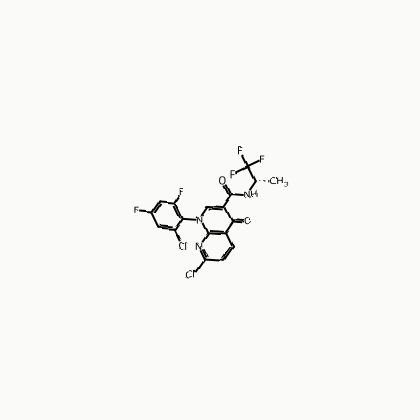 C[C@H](NC(=O)c1cn(-c2c(F)cc(F)cc2Cl)c2nc(Cl)ccc2c1=O)C(F)(F)F